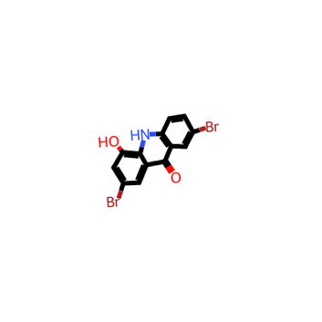 O=c1c2cc(Br)ccc2[nH]c2c(O)cc(Br)cc12